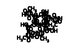 Cc1cn([C@H]2C[C@@H](O)[C@@H](COP(=O)(O)O[C@@H]3C[C@H](n4cc(C)c(=O)[nH]c4=O)O[C@@H]3COP(=O)(O)O[C@@H]3C[C@H](n4cc(C)c(=O)[nH]c4=O)O[C@@H]3COP(=O)(O)O[C@@H]3C[C@H](n4cc(C)c(=O)[nH]c4=O)O[C@@H]3CO)O2)c(=O)[nH]c1=O